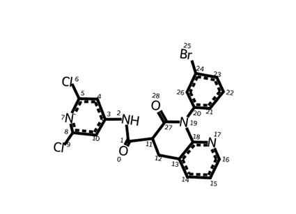 O=C(Nc1cc(Cl)nc(Cl)c1)C1Cc2cccnc2N(c2cccc(Br)c2)C1=O